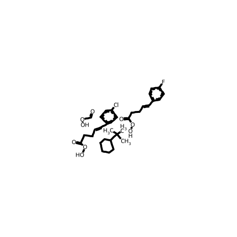 CC(C)(C)C1CCCCC1.O=C(CC/C=C/c1ccc(Cl)cc1)OO.O=C(CC/C=C/c1ccc(F)cc1)OO.O=COO